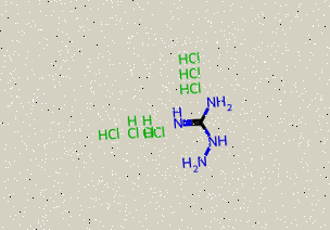 Cl.Cl.Cl.Cl.Cl.Cl.Cl.N=C(N)NN